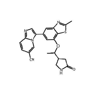 Cc1nc2cc(-c3cnc4ccc(C#N)cn34)cc(OC(C)C3CNC(=O)C3)c2s1